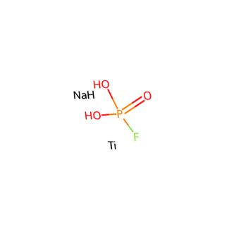 O=P(O)(O)F.[NaH].[Ti]